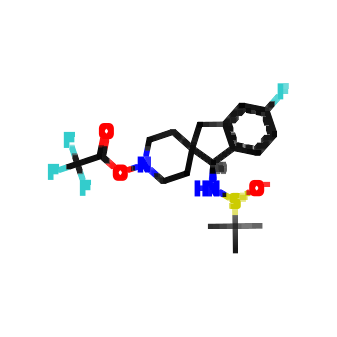 CC(C)(C)[S+]([O-])N[C@@H]1c2ccc(F)cc2CC12CCN(OC(=O)C(F)(F)F)CC2